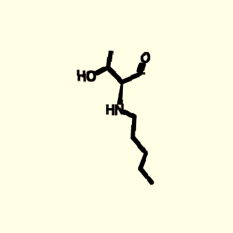 CCCCCN[C@H]([C]=O)C(C)O